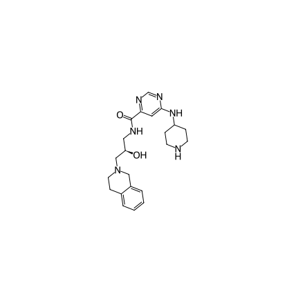 O=C(NC[C@@H](O)CN1CCc2ccccc2C1)c1cc(NC2CCNCC2)ncn1